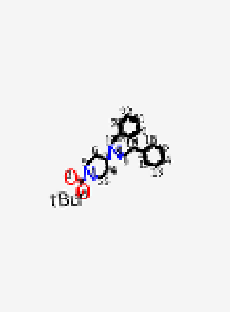 CC(C)(C)OC(=O)N1CCC(N(CCc2ccccc2)Cc2ccccc2)CC1